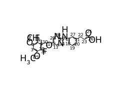 COc1cc(OC)c(F)c(COc2cnc(Nc3cccc(CCC(=O)O)c3)nc2)c1F